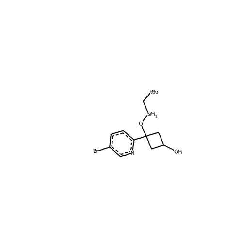 CC(C)(C)C[SiH2]OC1(c2ccc(Br)cn2)CC(O)C1